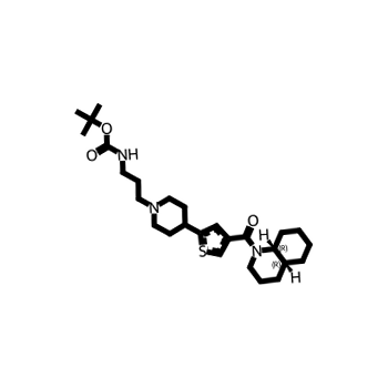 CC(C)(C)OC(=O)NCCCN1CCC(c2cc(C(=O)N3CCC[C@H]4CCCC[C@H]43)cs2)CC1